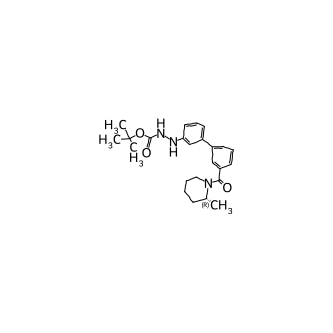 C[C@@H]1CCCCN1C(=O)c1cccc(-c2cccc(NNC(=O)OC(C)(C)C)c2)c1